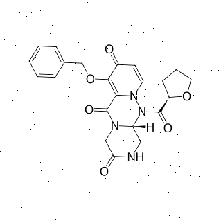 O=C1CN2C(=O)c3c(OCc4ccccc4)c(=O)ccn3N(C(=O)[C@H]3CCCO3)[C@@H]2CN1